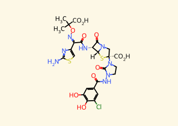 CC(C)(O/N=C(\C(=O)N[C@@H]1C(=O)N2C[C@@](C(=O)O)(N3CCN(NC(=O)c4cc(O)c(O)c(Cl)c4)C3=O)S[C@H]12)c1csc(N)n1)C(=O)O